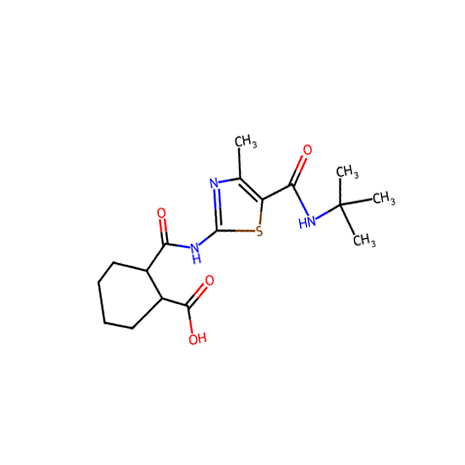 Cc1nc(NC(=O)C2CCCCC2C(=O)O)sc1C(=O)NC(C)(C)C